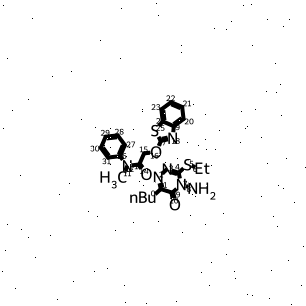 CCCCc1nnc(SCC)n(N)c1=O.CN(C(=O)COc1nc2ccccc2s1)c1ccccc1